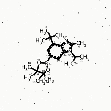 Cc1nc2c(C(C)(C)C)cc(B3OC(C)(C)C(C)(C)O3)cc2n1C(C)C